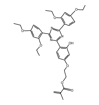 C=C(C)C(=O)OCCOc1ccc(-c2nc(-c3ccc(OCC)cc3OCC)nc(-c3ccc(OCC)cc3OCC)n2)c(O)c1